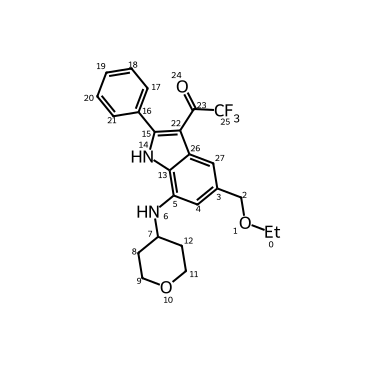 CCOCc1cc(NC2CCOCC2)c2[nH]c(-c3ccccc3)c(C(=O)C(F)(F)F)c2c1